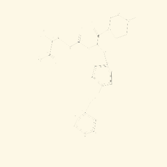 CCN1CCN(C(=O)C(Cc2ccc(OCc3ccccc3)cc2)NC(=O)[CH]CC(C)C(N)=O)CC1